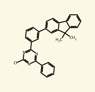 CC1(C)c2ccccc2-c2ccc(-c3cccc(-c4nc(Cl)nc(-c5ccccc5)n4)c3)cc21